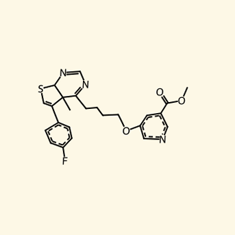 COC(=O)c1cncc(OCCCCC2=NC=NC3SC=C(c4ccc(F)cc4)C23C)c1